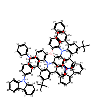 CC(C)(C)c1cc(-c2ccccc2)c(N2c3cc(-c4ccccc4)ccc3B3c4ccc(N(c5ccccc5)c5ccc(-n6c7ccccc7c7ccccc76)cc5)cc4N(c4c(-c5ccccc5)cc(C(C)(C)C)cc4-c4ccccc4)c4cc(-n5c6ccccc6c6ccccc65)cc2c43)c(-c2ccccc2)c1